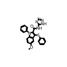 COc1ccc2c(c1)c(Sc1ccccc1)c(C(=O)Nc1nnn[nH]1)n2-c1ccccc1